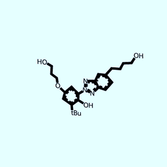 CC(C)(C)c1cc(OCCCO)cc(-n2nc3ccc(CCCCO)cc3n2)c1O